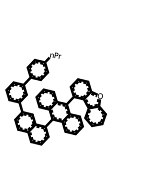 CCCc1ccc(-c2cccc(-c3ccc4cccc(-c5c6ccccc6c(-c6cccc7oc8ccccc8c67)c6ccccc56)c4c3)c2)cc1